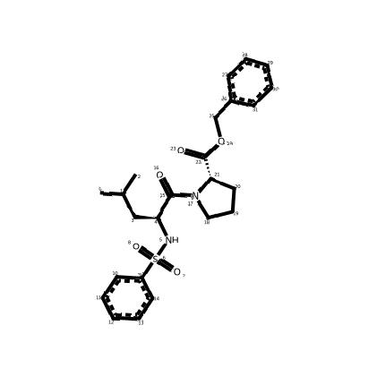 CC(C)C[C@H](NS(=O)(=O)c1ccccc1)C(=O)N1CCC[C@H]1C(=O)OCc1ccccc1